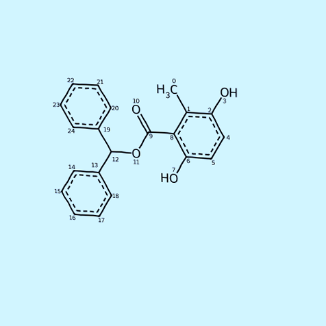 Cc1c(O)ccc(O)c1C(=O)OC(c1ccccc1)c1ccccc1